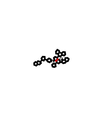 c1cc(-c2ccc(N(c3ccc(-c4cc5ccccc5c5ccccc45)cc3)c3ccccc3-c3ccc4oc5c6ccccc6ccc5c4c3)cc2)cc(-c2ccc3ccccc3c2)c1